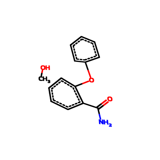 CO.NC(=O)c1ccccc1Oc1ccccc1